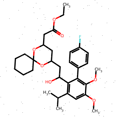 CCOC(=O)CC1CC(CC(O)c2c(C(C)C)cc(OC)c(OC)c2-c2ccc(F)cc2)OC2(CCCCC2)O1